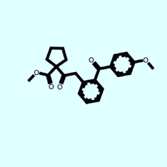 COC(=O)C1(C(=O)Cc2ccccc2C(=O)c2ccc(OC)cc2)CCCC1